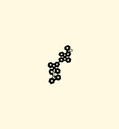 c1ccc(C2(c3ccc4oc5ccccc5c4c3)c3ccccc3-c3cc(-c4ccc5c(c4)-c4ccccc4C5(c4ccccc4)c4cccc(-n5c6ccccc6c6ccccc65)n4)ccc32)cc1